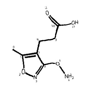 Cc1onc(ON)c1CCC(=O)O